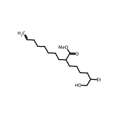 C=CCCCCCCC(CCCCC(CC)CO)C(=O)OC